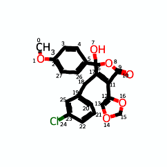 COc1ccc(C2(O)OC(=O)C(C3=COCO3)=C2Cc2cccc(Cl)c2)cc1